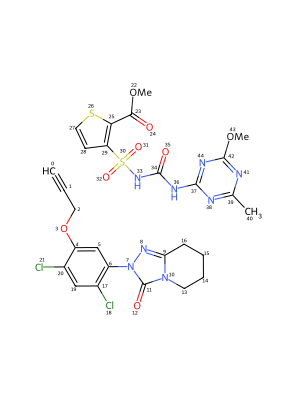 C#CCOc1cc(-n2nc3n(c2=O)CCCC3)c(Cl)cc1Cl.COC(=O)c1sccc1S(=O)(=O)NC(=O)Nc1nc(C)nc(OC)n1